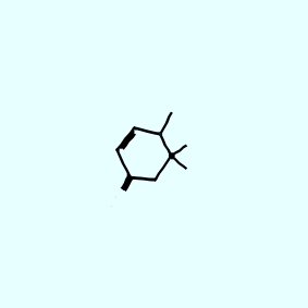 C=C1C=CC(O)C(O)(O)C1